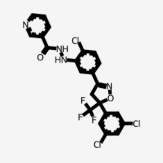 O=C(NNc1cc(C2=NOC(c3cc(Cl)cc(Cl)c3)(C(F)(F)F)C2)ccc1Cl)c1cccnc1